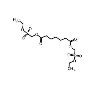 CCOS(=O)(=O)COC(=O)CCCCCC(=O)OCS(=O)(=O)OCC